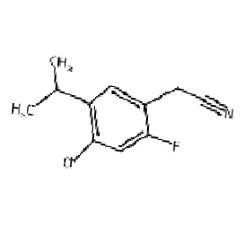 CC(C)c1cc(CC#N)c(F)cc1Cl